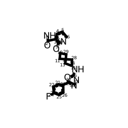 NC(=O)c1cccnc1OC1CC2(CC(Nc3nnc(-c4ccc(F)cc4)o3)C2)C1